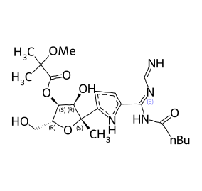 CCCCC(=O)N/C(=N/C=N)c1ccc([C@]2(C)O[C@H](CO)[C@@H](OC(=O)C(C)(C)OC)[C@H]2O)[nH]1